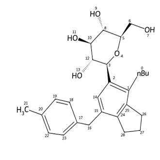 CCCCc1c([C@@H]2O[C@H](CO)[C@@H](O)[C@H](O)[C@H]2O)cc(Cc2ccc(C)cc2)c2c1CCC2